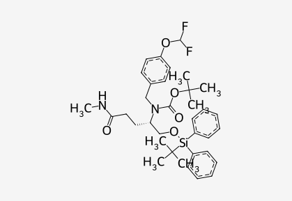 CNC(=O)CC[C@@H](CO[Si](c1ccccc1)(c1ccccc1)C(C)(C)C)N(Cc1ccc(OC(F)F)cc1)C(=O)OC(C)(C)C